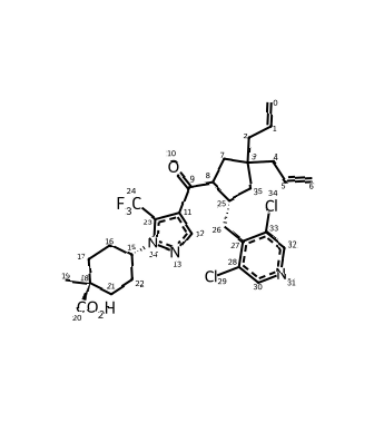 C=CCC1(CC=C)CC(C(=O)c2cnn([C@H]3CC[C@](C)(C(=O)O)CC3)c2C(F)(F)F)[C@@H](Cc2c(Cl)cncc2Cl)C1